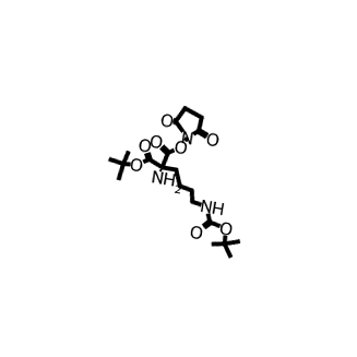 CC(C)(C)OC(=O)NCCCC[C@](N)(C(=O)ON1C(=O)CCC1=O)C(=O)OC(C)(C)C